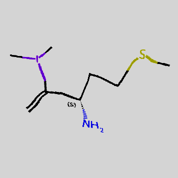 C=C([C@@H](N)CCSC)I(C)C